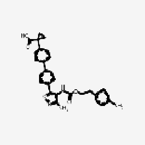 Cc1ccc(CCOC(=O)Nc2c(C)noc2-c2ccc(-c3ccc(C4(C(=O)O)CC4)cc3)cc2)cc1